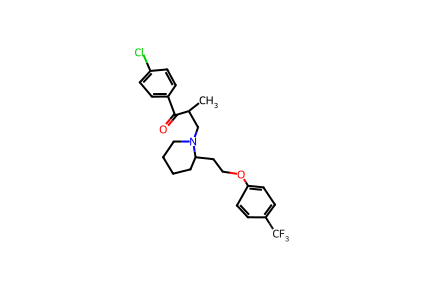 CC(CN1CCCCC1CCOc1ccc(C(F)(F)F)cc1)C(=O)c1ccc(Cl)cc1